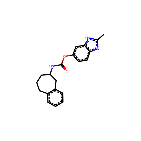 Cc1nc2ccc(OC(=O)NC3CCCc4ccccc4C3)cc2[nH]1